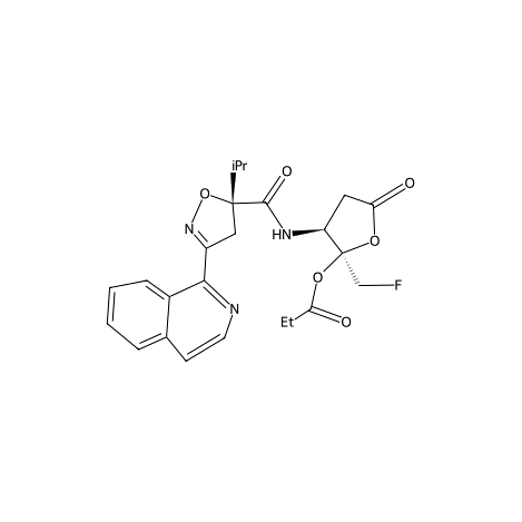 CCC(=O)O[C@]1(CF)OC(=O)C[C@@H]1NC(=O)[C@]1(C(C)C)CC(c2nccc3ccccc23)=NO1